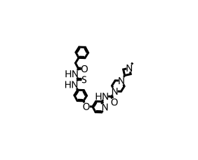 CN1CC(N2CCN(C(=O)Nc3cc(Oc4ccc(NC(=S)NC(=O)Cc5ccccc5)cc4)ccn3)CC2)C1